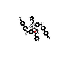 Cc1ccc(C(=O)N2CCC(c3ccc(C#N)cc3)CC2)cc1N(C(=O)NCCc1ccncc1)N(C(=O)NCCc1cccs1)c1cc(C(=O)N2CCC(c3ccc(C#N)cc3)CC2)ccc1C